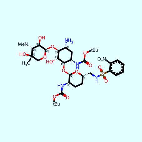 CN[C@@H]1[C@@H](O)[C@@H](O[C@@H]2[C@@H](O)[C@H](O[C@H]3O[C@H](CNS(=O)(=O)c4ccccc4[N+](=O)[O-])CC[C@H]3NC(=O)OC(C)(C)C)[C@@H](NC(=O)OC(C)(C)C)C[C@H]2N)OC[C@]1(C)O